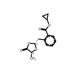 C[C@@H]1S[C@@H](Cc2ccccc2C(=O)OC2CC2)OC1=O